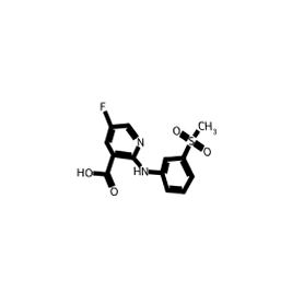 CS(=O)(=O)c1cccc(Nc2ncc(F)cc2C(=O)O)c1